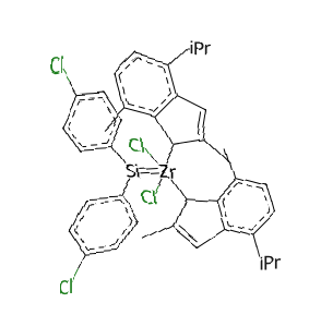 CC1=Cc2c(C(C)C)ccc(C)c2[CH]1[Zr]([Cl])([Cl])([CH]1C(C)=Cc2c(C(C)C)ccc(C)c21)=[Si](c1ccc(Cl)cc1)c1ccc(Cl)cc1